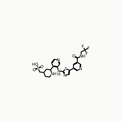 O=C(NCC(F)(F)F)c1cncc(-c2cnc(Nc3cnccc3C3CC(CS(=O)(=O)O)CCN3)s2)c1